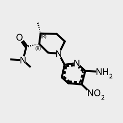 C[C@@H]1CCN(c2ccc([N+](=O)[O-])c(N)n2)C[C@@H]1C(=O)N(C)C